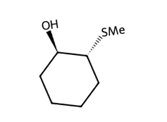 CS[C@@H]1CCCC[C@H]1O